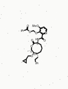 COc1ccnc(C(=O)N[C@H]2CCC[C@H](CCC(C)C)[C@@H](OCC3CC3)[C@H](C)OC2=O)c1OCOC(=O)C(C)C